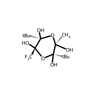 CC(C)(C)[C@]1(O)O[C@@](C)(O)[C@](O)(C(C)(C)C)O[C@@]1(O)C(F)(F)F